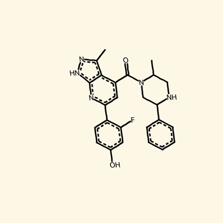 Cc1n[nH]c2nc(-c3ccc(O)cc3F)cc(C(=O)N3CC(c4ccccc4)NCC3C)c12